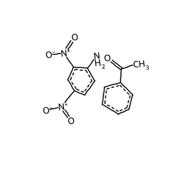 CC(=O)c1ccccc1.Nc1ccc([N+](=O)[O-])cc1[N+](=O)[O-]